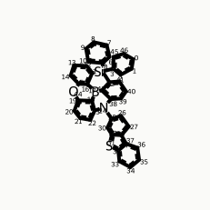 c1ccc([Si]2(c3ccccc3)c3cccc4c3B3c5c(cccc5N(c5ccc6c(c5)sc5ccccc56)c5cccc2c53)O4)cc1